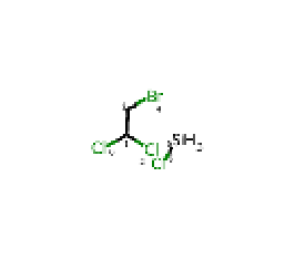 ClC(Cl)CBr.[SiH3]Cl